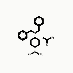 CC(C)C(=O)C[C@@H]1C[C@H](N(C)C(C)C)CC[C@@H]1N(Cc1ccccc1)Cc1ccccc1